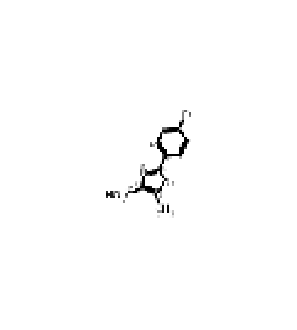 Cc1oc(-c2ccc(F)cc2)nc1C(=O)O